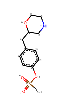 O=S(=O)(Oc1ccc(CC2CNCCO2)cc1)C(F)(F)F